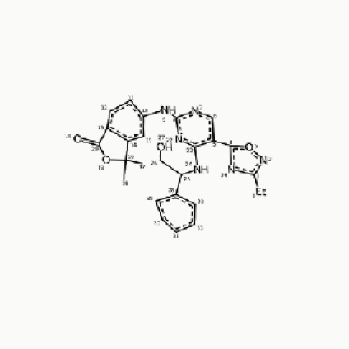 CCc1noc(-c2cnc(Nc3ccc4c(c3)C(C)(C)OC4=O)nc2NC(CO)c2ccccc2)n1